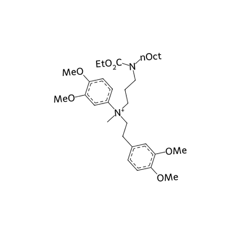 CCCCCCCCN(CCC[N+](C)(CCc1ccc(OC)c(OC)c1)c1ccc(OC)c(OC)c1)C(=O)OCC